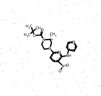 C[C@@H]1CN(c2ccc([N+](=O)[O-])c(Nc3ccncc3)n2)CCN1C(=O)OC(C)(C)C